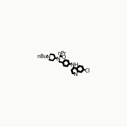 CCCCN1CCC(N(Cc2ccc(Nc3ccnc4cc(Cl)ccc34)cc2)C(=O)CCC)CC1